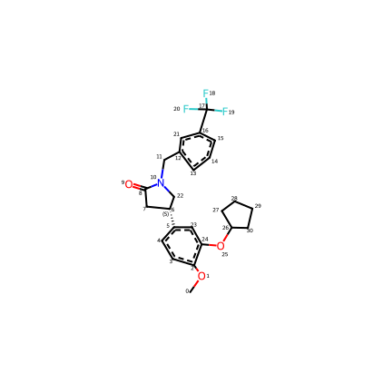 COc1ccc([C@@H]2CC(=O)N(Cc3cccc(C(F)(F)F)c3)C2)cc1OC1CCCC1